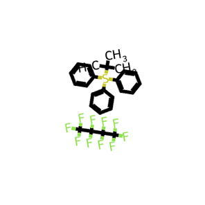 CC(C)(C)S(c1ccccc1)(c1ccccc1)c1ccccc1.FC(F)(F)C(F)(F)C(F)(F)C(F)(F)F